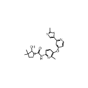 Cc1ncc(-c2cc(Oc3ccc(NC(=O)N4CCC(C)(C)C4O)nc3C)ccn2)s1